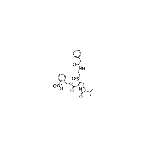 CC(C)C1C(=O)N2C(C(=O)OCc3ccccc3[N+](=O)[O-])=C([S+]([O-])CCNC(=O)Cc3ccccc3)CC12